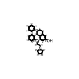 Oc1ccc2c(c1)CC[C@@H](c1ccccc1)[C@H]2c1ccccc1OCCN1CCCC1